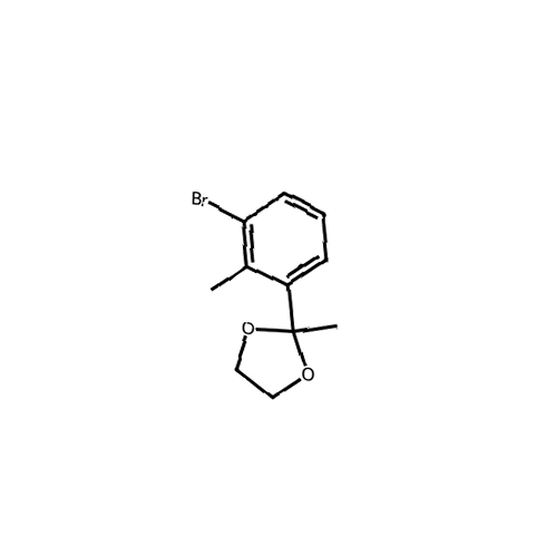 Cc1c(Br)cccc1C1(C)OCCO1